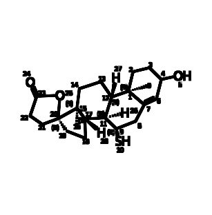 C[C@]12CCC(O)C=C1C[C@@H](S)[C@@H]1[C@@H]2CC[C@@]2(C)[C@H]1CC[C@@]21CCC(=O)O1